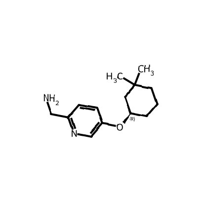 CC1(C)CCC[C@@H](Oc2ccc(CN)nc2)C1